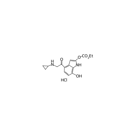 CCOC(=O)Oc1cc2c(C(=O)CNC3CC3)ccc(O)c2[nH]1.Cl